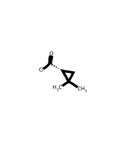 CC1(C)C[C@H]1C(=O)Cl